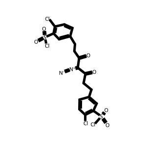 [N-]=[N+]=C(C(=O)CCc1ccc(Cl)c(S(=O)(=O)Cl)c1)C(=O)CCc1ccc(Cl)c(S(=O)(=O)Cl)c1